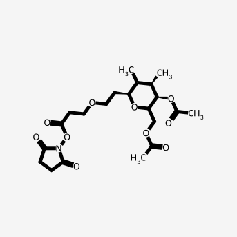 CC(=O)OCC1O[C@@H](CCOCCC(=O)ON2C(=O)CCC2=O)C(C)[C@@H](C)[C@H]1OC(C)=O